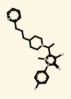 CC(c1c(Cl)c(=O)n(-c2ccc(F)cc2)n1C)N1CCC(CCCc2ccccn2)CC1